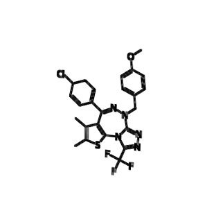 COc1ccc(CN2N=C(C3=CCC(Cl)C=C3)c3c(sc(C)c3C)-n3c2nnc3C(F)(F)F)cc1